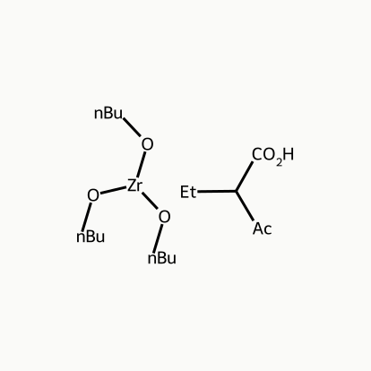 CCC(C(C)=O)C(=O)O.CCCC[O][Zr]([O]CCCC)[O]CCCC